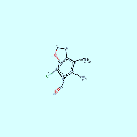 Cc1c(C)c2c(c(Cl)c1C=O)OCC2